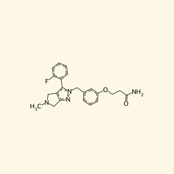 CN1Cc2nn(Cc3cccc(OCCC(N)=O)c3)c(-c3ccccc3F)c2C1